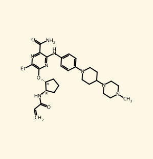 C=CC(=O)N[C@@H]1CCC[C@H]1Oc1nc(Nc2ccc(N3CCC(N4CCN(C)CC4)CC3)cc2)c(C(N)=O)nc1CC